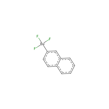 [F][Eu]([F])([F])[c]1ccc2ccccc2c1